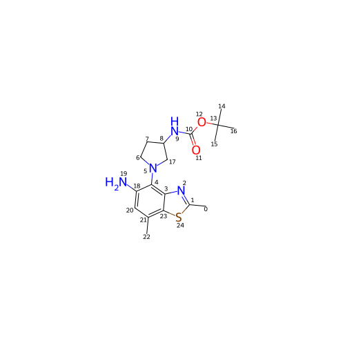 Cc1nc2c(N3CCC(NC(=O)OC(C)(C)C)C3)c(N)cc(C)c2s1